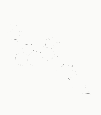 Nc1ncnc2c1c(-c1ccc(NC(=O)Nc3cc(C4(C(F)(F)F)CC4)on3)c3nccn13)nn2C1CCS(O)(O)C1